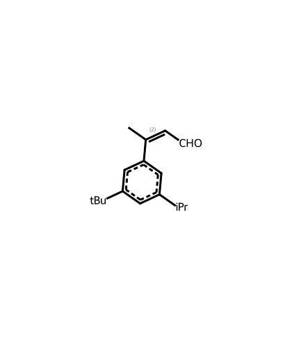 C/C(=C/C=O)c1cc(C(C)C)cc(C(C)(C)C)c1